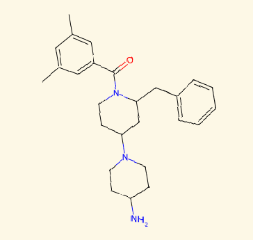 Cc1cc(C)cc(C(=O)N2CCC(N3CCC(N)CC3)CC2Cc2ccccc2)c1